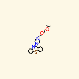 CC(C)OCCOCCN1CCN(C2=Nc3ccccc3Sc3ccccc32)CC1